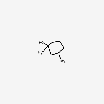 CC1(O)CCC[C@@H](N)C1